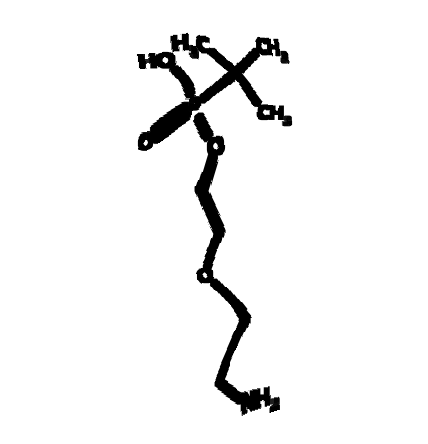 CC(C)(C)P(=O)(O)OCCOCCN